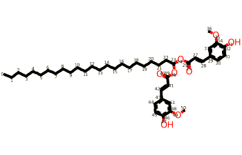 CCCCCCCCCCCCCCCCCCCCCCCC(OC(=O)C=Cc1ccc(O)c(OC)c1)OC(=O)C=Cc1ccc(O)c(OC)c1